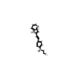 CN(CCF)c1ccc(C#Cc2cc3ncccc3[nH]2)cc1